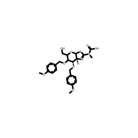 COc1ccc(COC2C(CO)OC3SC(N(C)C(=O)O)=N[C@@H]3[C@H]2OCc2ccc(OC)cc2)cc1